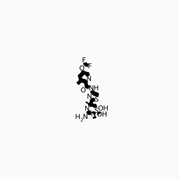 Cc1cc(OC(F)F)cnc1C(=O)Nc1csc([C@]2(C)CS(O)(O)N(C)C(N)=N2)n1